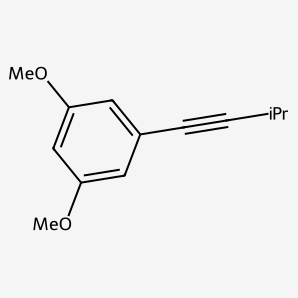 COc1cc(C#CC(C)C)cc(OC)c1